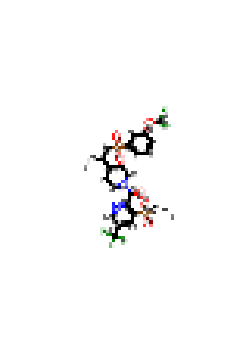 CC(CS(=O)(=O)c1cccc(OC(F)F)c1)C1CCN(C(=O)c2ncc(C(F)(F)F)cc2S(C)(=O)=O)CC1